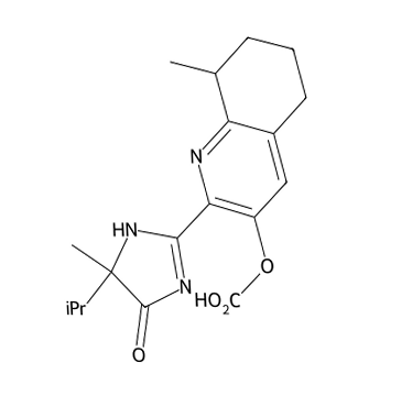 CC1CCCc2cc(OC(=O)O)c(C3=NC(=O)C(C)(C(C)C)N3)nc21